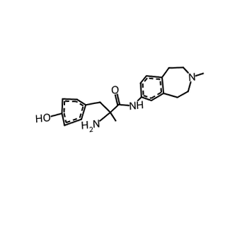 CN1CCc2ccc(NC(=O)C(C)(N)Cc3ccc(O)cc3)cc2CC1